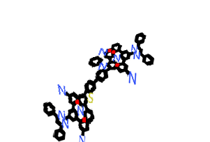 N#Cc1cccc(-c2cc(-c3nc(-c4ccccc4)cc(-c4ccccc4)n3)cc(-c3cccc(C#N)c3)c2-n2c3ccccc3c3c4sc5cc(-c6ccc7c8ccc9c(c%10ccccc%10n9-c9c(-c%10cccc(C#N)c%10)cc(-c%10nc(-c%11ccccc%11)cc(-c%11ccccc%11)n%10)cc9-c9cccc(C#N)c9)c8n(-c8ccccc8)c7c6)ccc5c4ccc32)c1